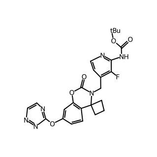 CC(C)(C)OC(=O)Nc1nccc(CN2C(=O)Oc3cc(Oc4nccnn4)ccc3C23CCC3)c1F